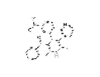 CC1=C(C(=O)c2ccccc2)C(c2cccc([N+](=O)[O-])c2)C(c2cccnc2)=C(C)N1